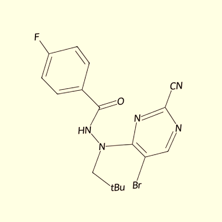 CC(C)(C)CN(NC(=O)c1ccc(F)cc1)c1nc(C#N)ncc1Br